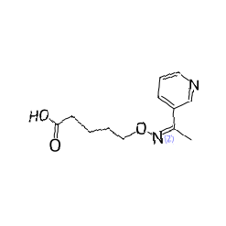 C/C(=N/OCCCCC(=O)O)c1cccnc1